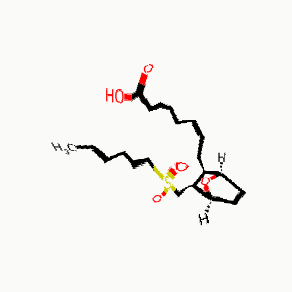 CC=CCCCS(=O)(=O)C[C@H]1[C@@H](C/C=C\CCCC(=O)O)[C@H]2CC[C@@H]1O2